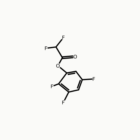 O=C(Oc1cc(F)cc(F)c1F)C(F)F